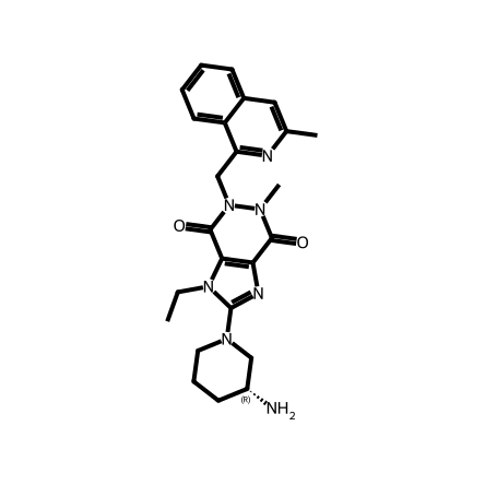 CCn1c(N2CCC[C@@H](N)C2)nc2c(=O)n(C)n(Cc3nc(C)cc4ccccc34)c(=O)c21